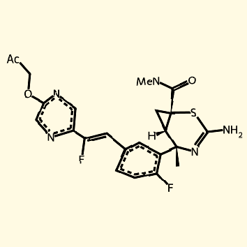 CNC(=O)[C@]12C[C@H]1[C@@](C)(c1cc(/C=C(\F)c3cnc(OCC(C)=O)cn3)ccc1F)N=C(N)S2